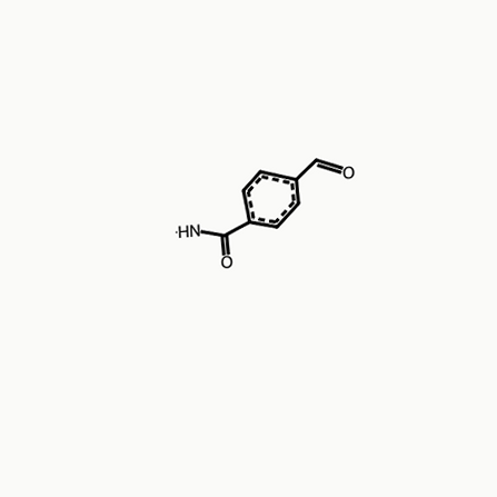 [NH]C(=O)c1ccc(C=O)cc1